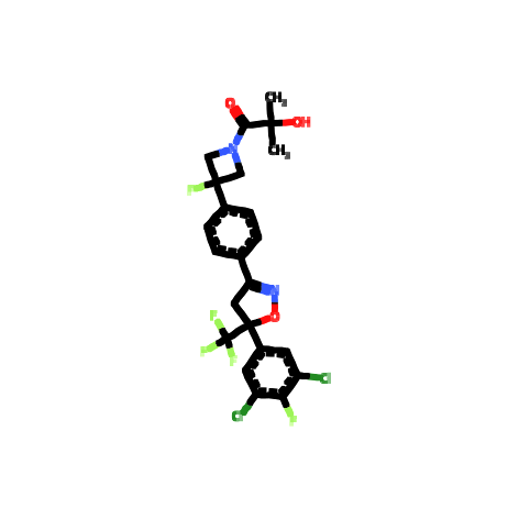 CC(C)(O)C(=O)N1CC(F)(c2ccc(C3=NOC(c4cc(Cl)c(F)c(Cl)c4)(C(F)(F)F)C3)cc2)C1